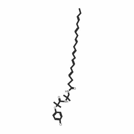 CCC=CCC=CCC=CCC=CCC=CCC=CCCC(=O)NCC(C)(C)NC(=O)C(C)(C)Oc1ccc(Cl)cc1